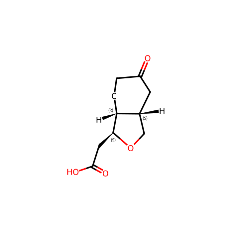 O=C(O)C[C@@H]1OC[C@H]2CC(=O)CC[C@H]21